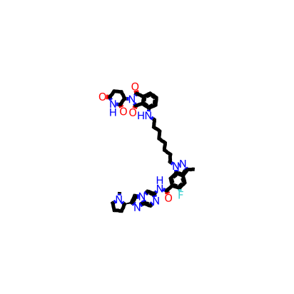 Cc1nn(CCCCCCCCNc2cccc3c2C(=O)N(C2CCC(=O)NC2=O)C3=O)c2cc(C(=O)Nc3cn4cc([C@H]5CCCN5C)nc4cn3)c(F)cc12